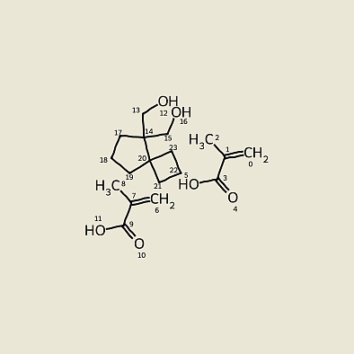 C=C(C)C(=O)O.C=C(C)C(=O)O.OCC1(CO)CCCC12CCC2